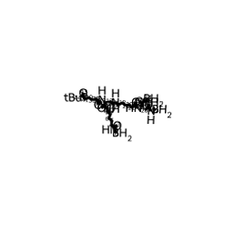 BNC(=O)CCCCCNC(=O)[C@H](CC(=O)NCCCCCC(=O)N[C@@H](CC(=O)NB)C(=O)NB)NC(=O)CCCCC(=O)C(C)(C)C